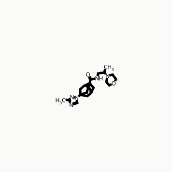 Cc1ncn(C23CC4CC(C2)C(C(=O)NCC(C)N2CCOCC2)(C4)C3)n1